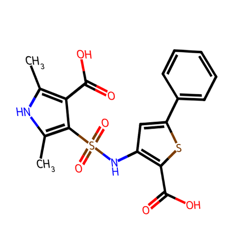 Cc1[nH]c(C)c(S(=O)(=O)Nc2cc(-c3ccccc3)sc2C(=O)O)c1C(=O)O